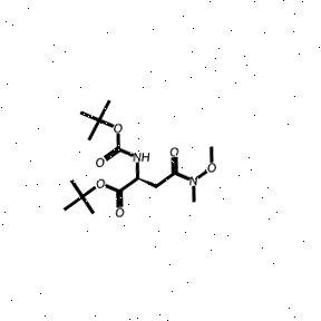 CON(C)C(=O)C[C@H](NC(=O)OC(C)(C)C)C(=O)OC(C)(C)C